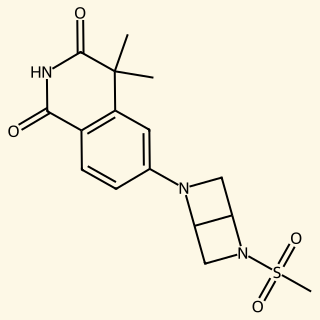 CC1(C)C(=O)NC(=O)c2ccc(N3CC4C3CN4S(C)(=O)=O)cc21